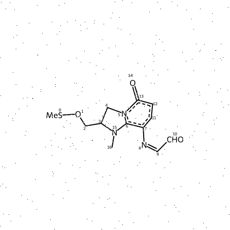 CSOCC1Cn2c(c(/N=C\C=O)ccc2=O)N1C